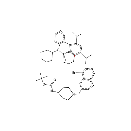 CC(C)(C)OC(=O)NC1CCN(Cc2ccc3cncc(Br)c3c2)CC1.CC(C)c1cc(C(C)C)c(-c2ccccc2P(C2CCCCC2)C2CCCCC2)c(C(C)C)c1